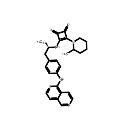 CC1CCCCN1c1c(N[C@@H](Cc2ccc(Nc3nccc4cnccc34)cc2)C(=O)O)c(=O)c1=O